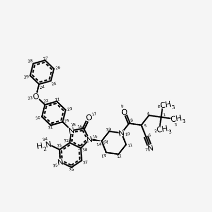 CC(C)(C)CC(C#N)C(=O)N1CCC[C@@H](n2c(=O)n(-c3ccc(Oc4ccccc4)cc3)c3c(N)nccc32)C1